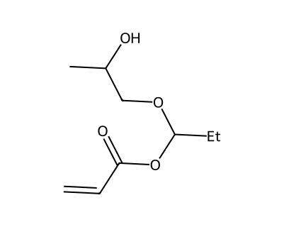 [CH2]CC(OCC(C)O)OC(=O)C=C